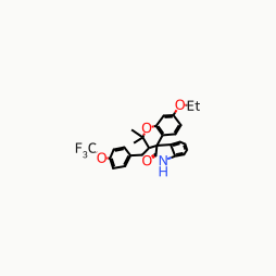 CCOc1ccc2c(c1)OC(C)(C)C(Cc1ccc(OC(F)(F)F)cc1)C21C(=O)Nc2ccccc21